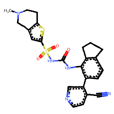 CN1CCc2sc(S(=O)(=O)NC(=O)Nc3c(-c4cnccc4C#N)ccc4c3CCC4)cc2C1